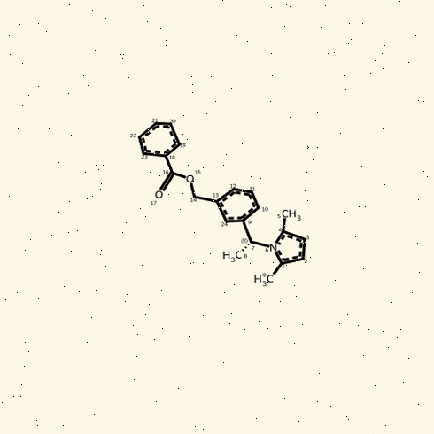 Cc1ccc(C)n1[C@H](C)c1cccc(COC(=O)c2ccccc2)c1